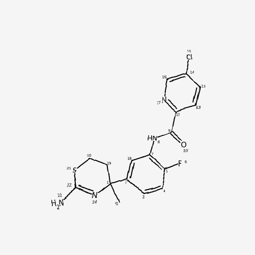 CC1(c2ccc(F)c(NC(=O)c3ccc(Cl)cn3)c2)CCSC(N)=N1